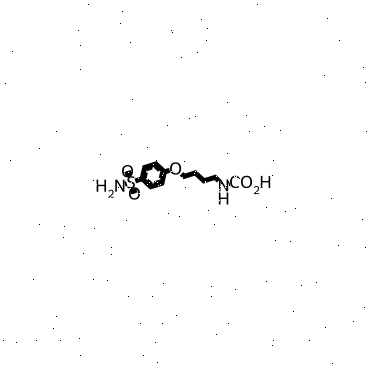 NS(=O)(=O)c1ccc(OCCCCNC(=O)O)cc1